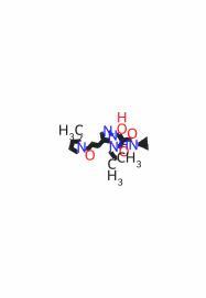 CC[C@H]1CCCN1C(=O)/C=C/c1cnn2c(O)c(C(=O)NC3CC3)c(=O)n(CC(C)C)c12